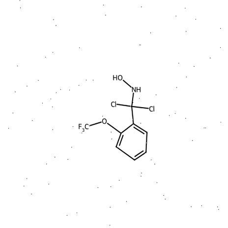 ONC(Cl)(Cl)c1ccccc1OC(F)(F)F